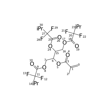 C=C(C)C(=O)OC(COC(=O)C(F)(F)C(C)C)C(COC(=O)C(F)(F)C(C)C)OC(=O)C(F)(F)C(C)C